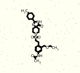 CCOCc1cc(NC(C)=O)ccc1CCS(=O)(=O)N1CCC2(CC1)N=C(C1CCC(C)CC1)NC2=O